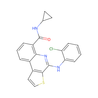 O=C(NC1CC1)c1cccc2c1nc(Nc1ccccc1Cl)c1sccc12